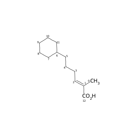 C/C(=C\CCCC1CCCCC1)C(=O)O